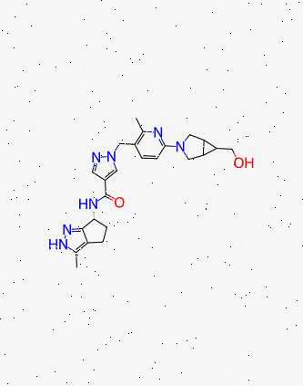 Cc1nc(N2CC3C(CO)C3C2)ccc1Cn1cc(C(=O)N[C@@H]2CCc3c2n[nH]c3C)cn1